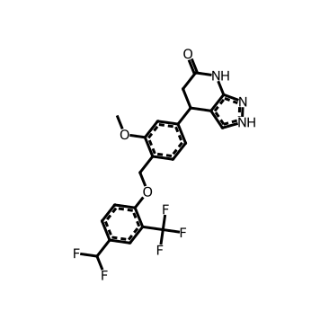 COc1cc(C2CC(=O)Nc3n[nH]cc32)ccc1COc1ccc(C(F)F)cc1C(F)(F)F